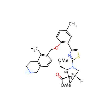 COC[C@H]1N(c2nc(-c3cc(C)ccc3OCc3ccc4c(c3C)CCNC4)cs2)C[C@@H]2C[C@@]21C(=O)OC